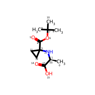 C[C@H](NC1(C(=O)OC(C)(C)C)CC1)C(=O)O